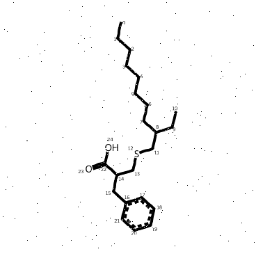 CCCCCCCCC(CC)CSCC(Cc1ccccc1)C(=O)O